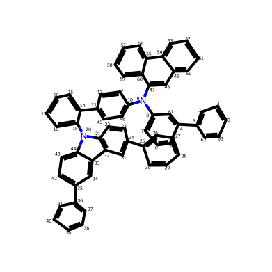 c1ccc(-c2cccc(N(c3ccc(-c4ccccc4-n4c5ccc(-c6ccccc6)cc5c5cc(-c6ccccc6)ccc54)cc3)c3cc4ccccc4c4ccccc34)c2)cc1